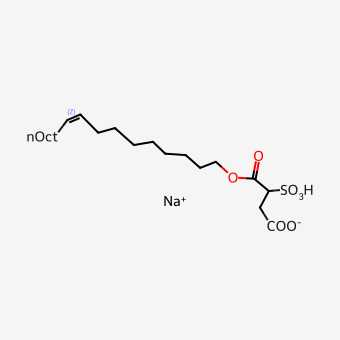 CCCCCCCC/C=C\CCCCCCCCOC(=O)C(CC(=O)[O-])S(=O)(=O)O.[Na+]